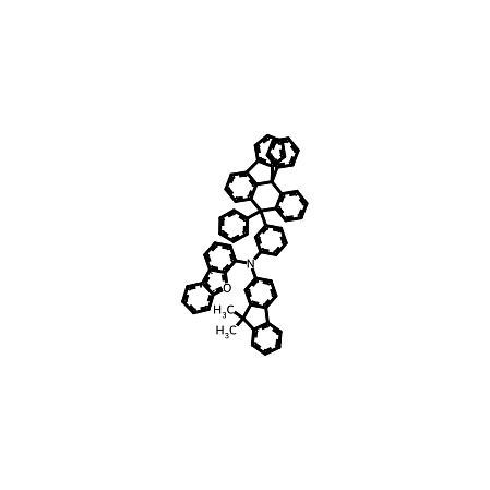 CC1(C)c2ccccc2-c2ccc(N(c3cccc(C4(c5ccccc5)c5ccccc5C5(c6ccccc6)c6ccccc6-c6cccc4c65)c3)c3cccc4c3oc3ccccc34)cc21